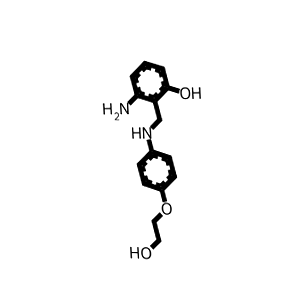 Nc1cccc(O)c1CNc1ccc(OCCO)cc1